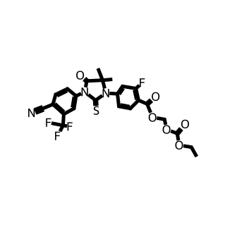 CCOC(=O)OCOC(=O)c1ccc(N2C(=S)N(c3ccc(C#N)c(C(F)(F)F)c3)C(=O)C2(C)C)cc1F